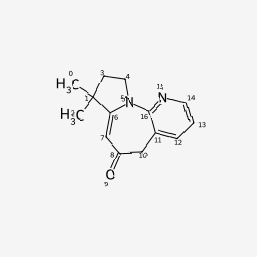 CC1(C)CCN2C1=CC(=O)Cc1cccnc12